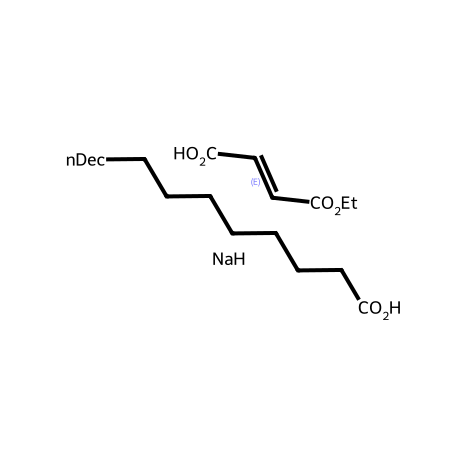 CCCCCCCCCCCCCCCCCC(=O)O.CCOC(=O)/C=C/C(=O)O.[NaH]